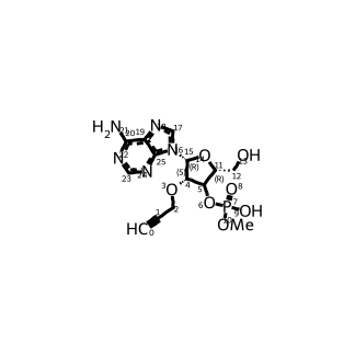 C#CCO[C@H]1C(OP(=O)(O)OC)[C@@H](CO)O[C@H]1n1cnc2c(N)ncnc21